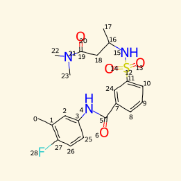 Cc1cc(NC(=O)c2cccc(S(=O)(=O)NC(C)CC(=O)N(C)C)c2)ccc1F